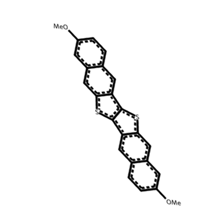 COc1ccc2cc3c(cc2c1)sc1c2cc4ccc(OC)cc4cc2sc31